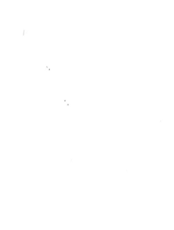 FC(F)(F)c1cc(C(F)(F)F)cc(C2(C(F)(F)F)CCN(c3cccc(Br)n3)C2)c1